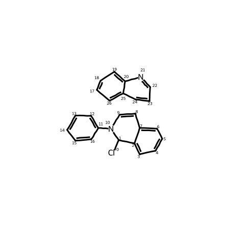 ClC1c2ccccc2C=CN1c1ccccc1.c1ccc2ncccc2c1